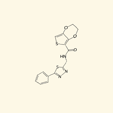 O=C(NCc1nnc(-c2ccccc2)s1)c1scc2c1OCCO2